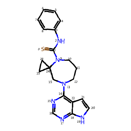 S=C(Nc1ccccc1)N1CCCN(c2ncnc3[nH]ccc23)CC12CC2